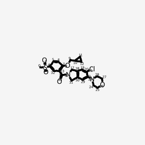 CS(=O)(=O)c1ccc(OCC2CC2)c(C(=O)N2Cc3cc(Cl)c(N4CCOCC4)cc3C2)c1